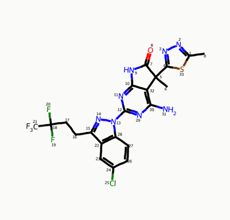 Cc1nnc(C2(C)C(=O)Nc3nc(-n4nc(CCC(F)(F)C(F)(F)F)c5cc(Cl)ccc54)nc(N)c32)s1